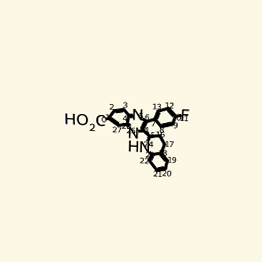 O=C(O)c1ccc2nc(-c3ccc(F)cc3)c(C3CCc4ccccc4N3)nc2c1